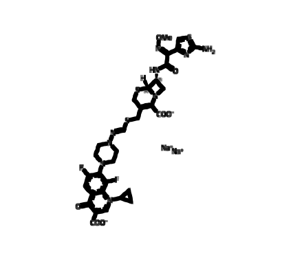 CON=C(C(=O)N[C@@H]1CN2C(C(=O)[O-])=C(CSC=NN3CCN(c4c(F)cc5c(=O)c(C(=O)[O-])cn(C6CC6)c5c4F)CC3)CS[C@H]12)c1csc(N)n1.[Na+].[Na+]